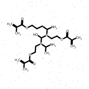 C=C(C)C(=O)OCCCC(N)N(CCOC(=O)C(=C)C)C(O)N(CCOC(=O)C(=C)C)C(C)N